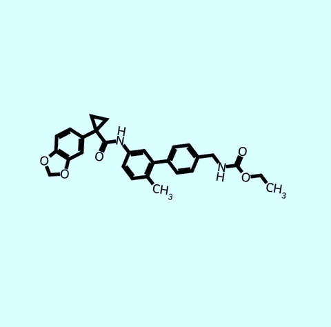 CCOC(=O)NCc1ccc(-c2cc(NC(=O)C3(c4ccc5c(c4)OCO5)CC3)ccc2C)cc1